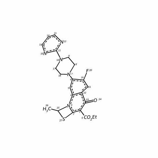 CCOC(=O)c1c2n(c3cc(N4CCN(c5ncccn5)CC4)c(F)cc3c1=O)C(C)S2